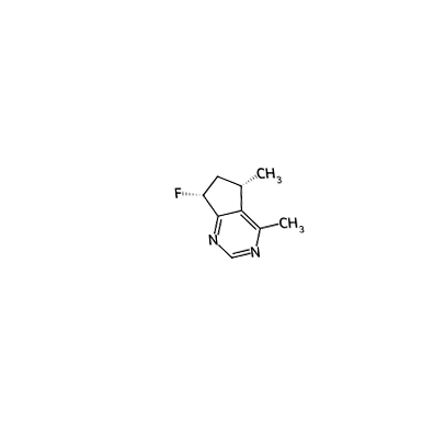 Cc1ncnc2c1[C@@H](C)C[C@H]2F